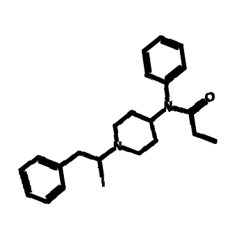 CCC(=O)N(c1ccccc1)C1CCN(C(I)Cc2ccccc2)CC1